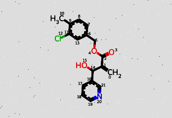 C=C(C(=O)OCc1ccc(C)c(Cl)c1)C(O)c1cccnc1